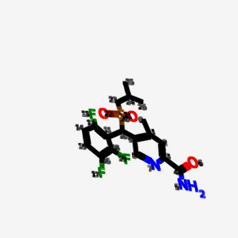 Cc1cc(C(N)=O)ncc1C(c1c(F)ccc(F)c1F)S(=O)(=O)CC(C)C